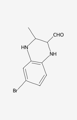 CC1Nc2cc(Br)ccc2NC1C=O